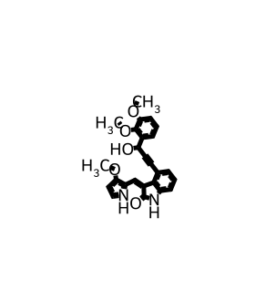 COc1cc[nH]c1C=C1C(=O)Nc2cccc(C#CC(O)c3cccc(OC)c3OC)c21